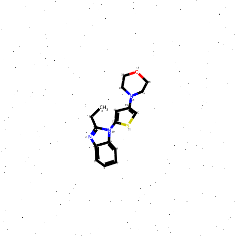 CCc1nc2ccccc2n1-c1cc(N2CCOCC2)cs1